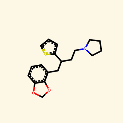 c1csc(C(CCN2CCCC2)Cc2cccc3c2OCO3)c1